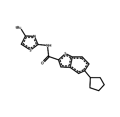 CC(C)(C)c1csc(NC(=O)c2cc3cc(C4CCCC4)ccc3s2)n1